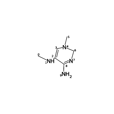 CNC1=CN(C)CN=C1N